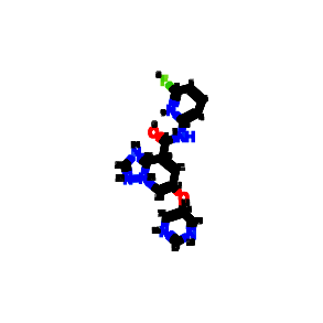 O=C(Nc1cccc(F)n1)c1cc(Oc2cncnc2)cn2ncnc12